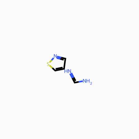 N=CN.c1cnsc1